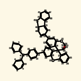 c1ccc(N(c2ccccc2)c2ccc(-c3ccc4c(c3)Oc3ccccc3C43c4ccccc4Oc4cc(-c5ccc6sc7ccccc7c6c5)ccc43)cc2)cc1